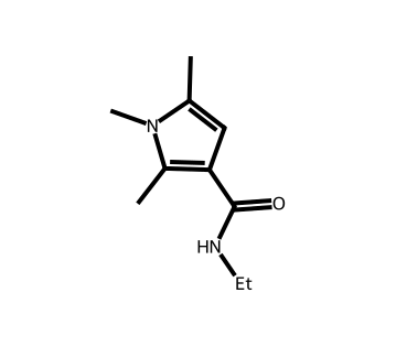 CCNC(=O)c1cc(C)n(C)c1C